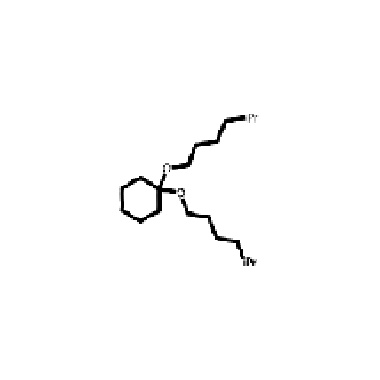 CC(C)CCCCOC1(OCCCCC(C)C)CCCCC1